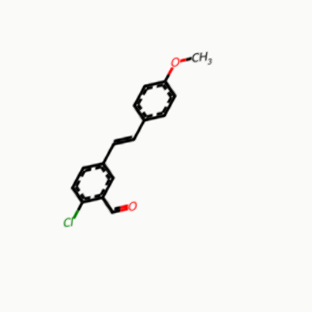 COc1ccc(C=Cc2ccc(Cl)c(C=O)c2)cc1